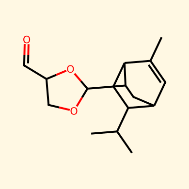 CC1=CC2CC(C3OCC(C=O)O3)C1CC2C(C)C